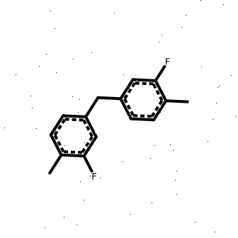 Cc1ccc(Cc2ccc(C)c(F)c2)cc1F